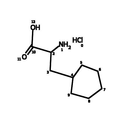 Cl.NC(CC1CCCCC1)C(=O)O